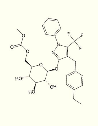 CCc1ccc(Cc2c(O[C@@H]3O[C@H](COC(=O)OC)[C@@H](O)[C@H](O)[C@H]3O)nn(-c3ccccc3)c2C(F)(F)F)cc1